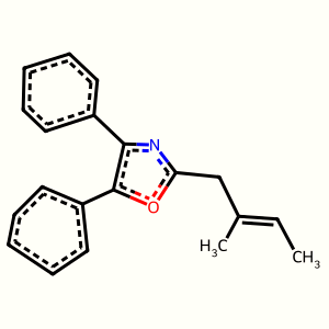 C/C=C(\C)Cc1nc(-c2ccccc2)c(-c2ccccc2)o1